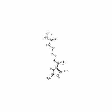 CNC(=O)NSCCCN(C)c1nc(C)oc1Cl